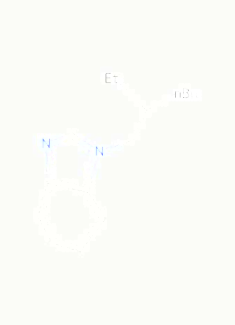 CCCCC(CC)Cn1[c]nc2ccccc21